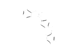 O=C(O)[C@H](Cc1ccccc1)Nc1ccc(Oc2ccccc2)cc1